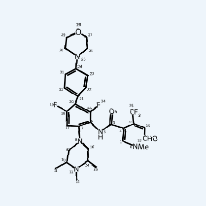 CN/C=C(C(=O)Nc1c(N2CC(C)N(C)C(C)C2)cc(F)c(-c2ccc(N3CCOCC3)cc2)c1F)\C(=C/C=O)C(F)(F)F